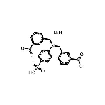 O=[N+]([O-])c1cccc(CN(Cc2cccc([N+](=O)[O-])c2)c2ccc(S(=O)(=O)O)cc2)c1.[NaH]